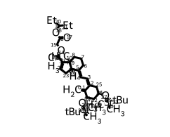 C=C1C(=CC=C2CCC[C@]3(C)C([C@H](C)OCC(=O)OC(CC)CC)=CC[C@@H]23)C[C@@H](O[Si](C)(C)C(C)(C)C)C[C@@H]1O[Si](C)(C)C(C)(C)C